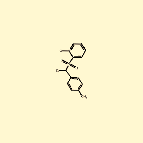 Cc1ccc(C(Cl)S(=O)(=O)c2cccc[n+]2[O-])cc1